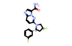 NC(=O)c1cnc2ccc(N3C[C@@H](F)C[C@@H]3c3cccc(F)c3)nn12